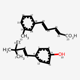 CCC(C)(C)C=Cc1ccc(O)cc1.Cc1cccc(C=CC=CC(=O)O)c1